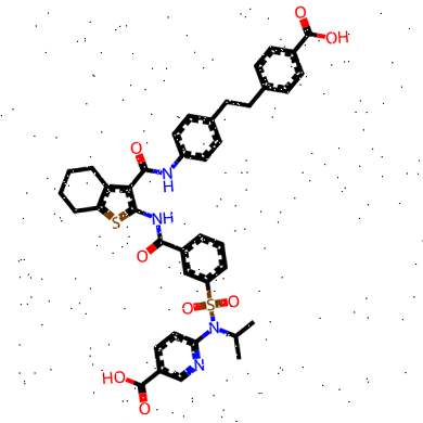 CC(C)N(c1ccc(C(=O)O)cn1)S(=O)(=O)c1cccc(C(=O)Nc2sc3c(c2C(=O)Nc2ccc(CCc4ccc(C(=O)O)cc4)cc2)CCCC3)c1